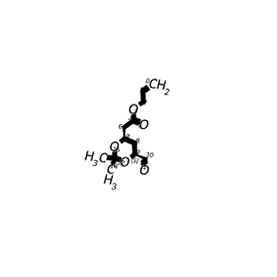 C=CCOC(=O)C[C@H]1C[C@@H](C=O)OC(C)(C)O1